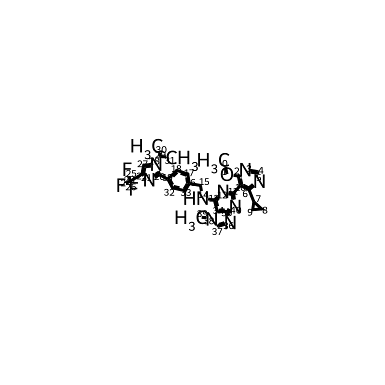 COc1ncnc(C2CC2)c1-c1nc(NCc2ccc(-c3nc(C(F)(F)F)cn3C(C)C)cc2)c2c(ncn2C)n1